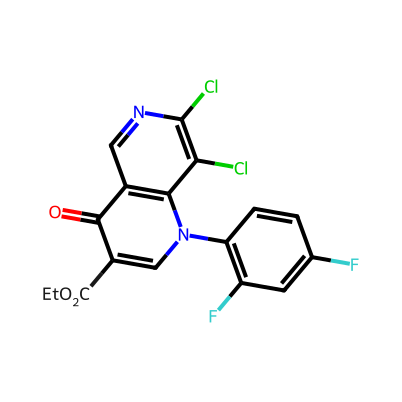 CCOC(=O)c1cn(-c2ccc(F)cc2F)c2c(Cl)c(Cl)ncc2c1=O